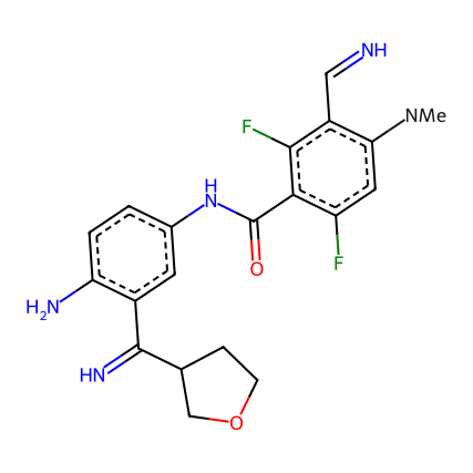 CNc1cc(F)c(C(=O)Nc2ccc(N)c(C(=N)C3CCOC3)c2)c(F)c1C=N